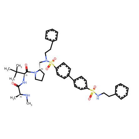 CN[C@@H](C)C(=O)N[C@H](C(=O)N1CCC[C@H]1CN(CCc1ccccc1)S(=O)(=O)c1ccc(-c2ccc(S(=O)(=O)NCCc3ccccc3)cc2)cc1)C(C)(C)C